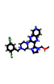 COCn1ccnc1-c1nc2ccncc2nc1N1CCN(Cc2cc(Cl)ccc2F)CC1